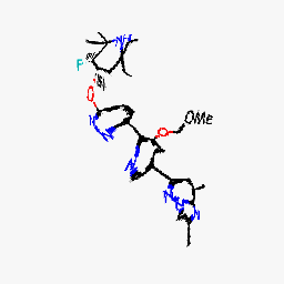 COCOc1cc(-c2cc(C)c3nc(C)cn3n2)cnc1-c1ccc(O[C@H]2CC(C)(C)NC(C)(C)[C@H]2F)nn1